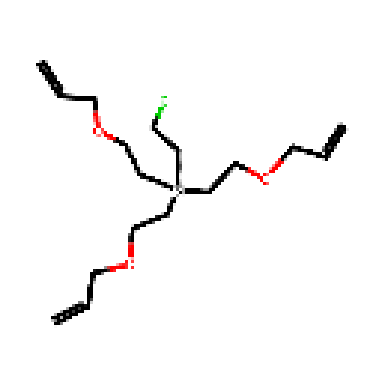 C=CCOCC[Si](CCCl)(CCOCC=C)CCOCC=C